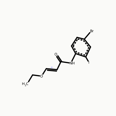 CCO/C=C/C(=O)Nc1ccc(Br)cc1I